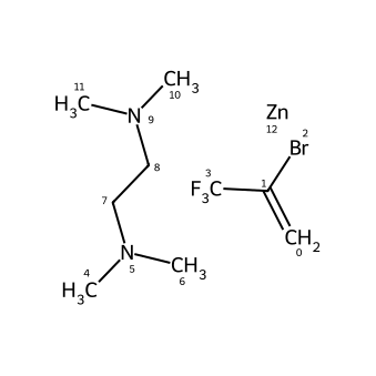 C=C(Br)C(F)(F)F.CN(C)CCN(C)C.[Zn]